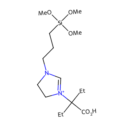 CCC(CC)(C(=O)O)[N+]1=CN(CCC[Si](OC)(OC)OC)CC1